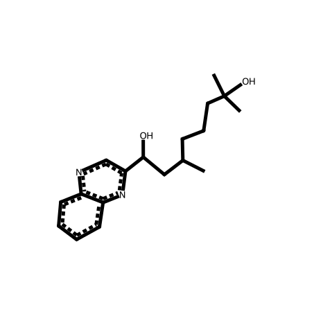 CC(CCCC(C)(C)O)CC(O)c1cnc2ccccc2n1